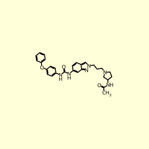 CC(=O)NC1CCN(CCCn2cc3ccc(NC(=O)Nc4ccc(Oc5ccccc5)cc4)cc3n2)C1